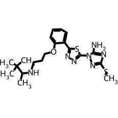 CSc1nc(N)n(-c2nnc(-c3ccccc3OCCCNC(C)C(C)(C)C)s2)n1